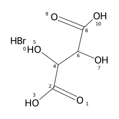 Br.O=C(O)C(O)C(O)C(=O)O